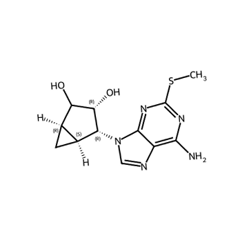 CSc1nc(N)c2ncn([C@@H]3[C@H]4C[C@H]4C(O)[C@@H]3O)c2n1